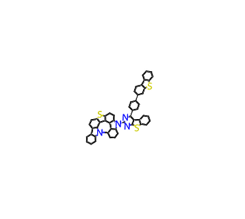 c1ccc2c(c1)sc1cc(-c3ccc(-c4nc(-n5c6ccc7sc8ccc9c%10ccccc%10n%10c%11cccc5c%11c6c7c8c9%10)nc5sc6ccccc6c45)cc3)ccc12